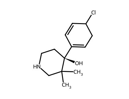 CC1(C)CNCC[C@]1(O)C1=CCC(Cl)C=C1